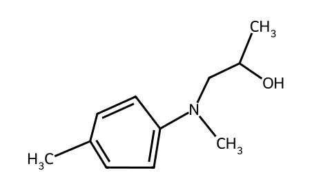 Cc1ccc(N(C)CC(C)O)cc1